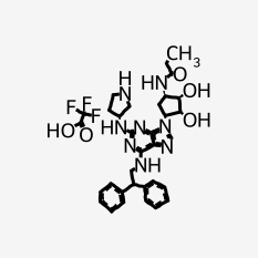 CCC(=O)N[C@H]1C[C@@H](n2cnc3c(NCC(c4ccccc4)c4ccccc4)nc(N[C@@H]4CCNC4)nc32)[C@H](O)[C@@H]1O.O=C(O)C(F)(F)F